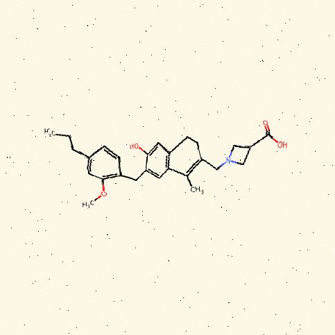 CCCc1ccc(Cc2cc3c(cc2O)CCC(CN2CC(C(=O)O)C2)=C3C)c(OC)c1